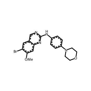 COc1cc2nc(Nc3ccc(N4CCOCC4)cc3)ncc2cc1Br